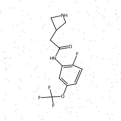 O=C(CC1CNC1)Nc1cc(OC(F)(F)F)ccc1F